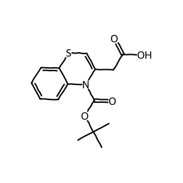 CC(C)(C)OC(=O)N1C(CC(=O)O)=CSc2ccccc21